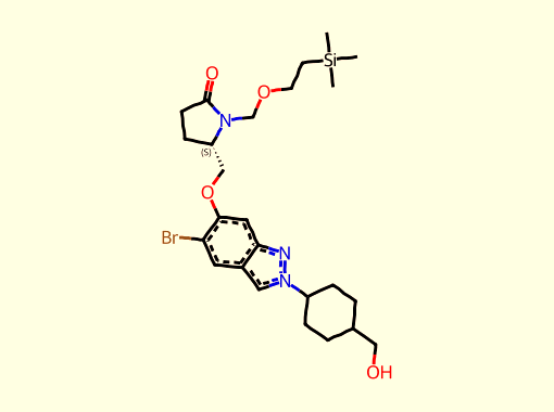 C[Si](C)(C)CCOCN1C(=O)CC[C@H]1COc1cc2nn(C3CCC(CO)CC3)cc2cc1Br